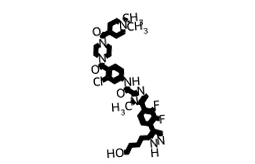 Cn1c(-c2ccc(-c3cn[nH]c3CCCCO)c(F)c2F)cnc1C(=O)Nc1ccc(C(=O)N2CCN(C(=O)C3CC[N+](C)(C)CC3)CC2)c(Cl)c1